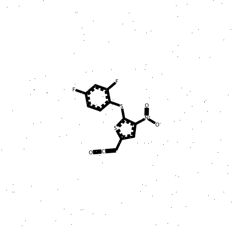 O=C=Cc1cc([N+](=O)[O-])c(Sc2ccc(F)cc2F)s1